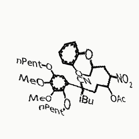 CCCCCOc1cc(C(C#N)(CCC(OC(C)=O)C(CC2COc3ccccc3O2)[N+](=O)[O-])C(C)CC)c(OCCCCC)c(OC)c1OC